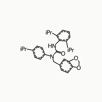 CC(C)c1ccc(N(Cc2ccc3c(c2)OCO3)C(=O)Nc2c(C(C)C)cccc2C(C)C)cc1